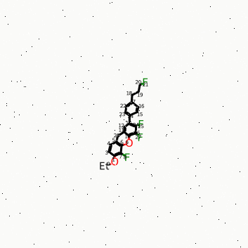 CCOc1ccc2c(c1F)Oc1c(cc(-c3ccc(CCCF)cc3)c(F)c1F)C2